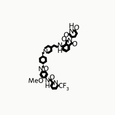 COc1cc2nc([C@H]3CC[C@H](CN4CCC(CCNc5cccc6c5C(=O)N(C5CCC(=O)NC5=O)C6=O)CC4)CC3)oc2cc1NC(=O)c1cccc(C(F)(F)F)n1